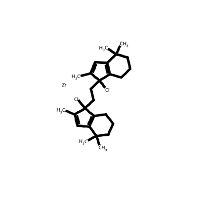 CC1=CC2=C(CCCC2(C)C)C1(Cl)CCC1(Cl)C(C)=CC2=C1CCCC2(C)C.[Zr]